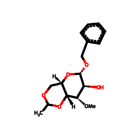 CO[C@H]1[C@H](O)[C@@H](OCc2ccccc2)O[C@@H]2COC(C)O[C@@H]12